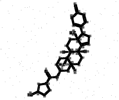 C[C@]12CC[C@H](OC(=O)N3CCC(O)C3)C[C@H]1CC[C@H]1C3=CC[C@H](c4ccc(=O)oc4)[C@@]3(C)CC[C@@H]12